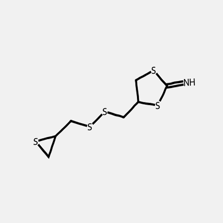 N=C1SCC(CSSCC2CS2)S1